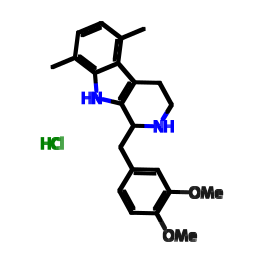 COc1ccc(CC2NCCc3c2[nH]c2c(C)ccc(C)c32)cc1OC.Cl